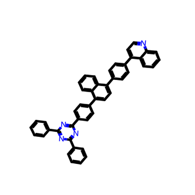 c1ccc(-c2nc(-c3ccccc3)nc(-c3ccc(-c4ccc(-c5ccc(-c6ccnc7ccccc67)cc5)c5ccccc45)cc3)n2)cc1